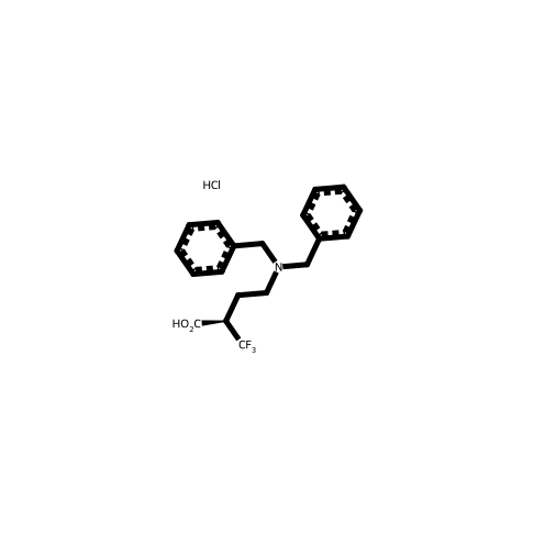 Cl.O=C(O)[C@@H](CCN(Cc1ccccc1)Cc1ccccc1)C(F)(F)F